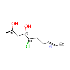 CC/C=C/CC[C@@H](Cl)[C@@H](O)C[C@@H](C)O